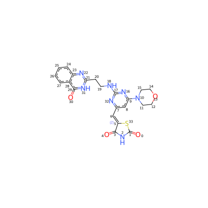 O=C1NC(=O)/C(=C/c2cc(N3CCOCC3)nc(NCCc3nc4ccccc4c(=O)[nH]3)n2)S1